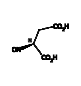 O=N[C@@H](CC(=O)O)C(=O)O